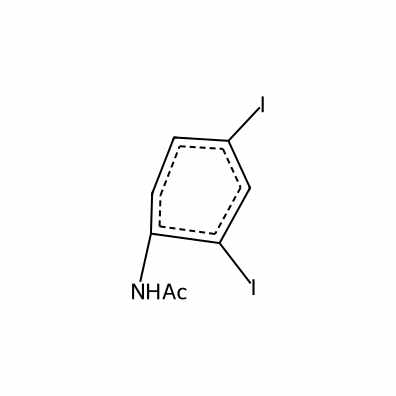 CC(=O)Nc1ccc(I)cc1I